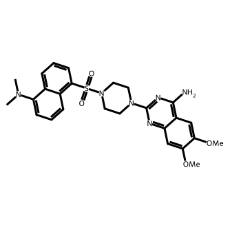 COc1cc2nc(N3CCN(S(=O)(=O)c4cccc5c(N(C)C)cccc45)CC3)nc(N)c2cc1OC